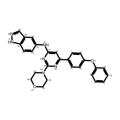 c1ccc(Oc2ccc(-c3cc(Nc4ccc5[nH]ncc5c4)nc(N4CCOCC4)n3)cc2)cc1